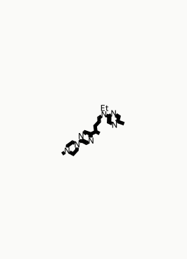 CCN(CCCC(C)c1cnc(N2CCN(C)CC2)cn1)c1cnc(C)cn1